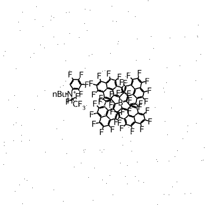 CCCC[NH+](c1cc(F)c(F)c(F)c1F)C(F)(F)C(F)(F)F.Fc1c(F)c2c(F)c(F)c3c(F)c(F)c([B-](c4c(F)c(F)c5c(F)c(F)c6c(F)c(F)c(F)c7c(F)c(F)c4c5c67)(c4c(F)c(F)c5c(F)c(F)c6c(F)c(F)c(F)c7c(F)c(F)c4c5c67)c4c(F)c(F)c5c(F)c(F)c6c(F)c(F)c(F)c7c(F)c(F)c4c5c67)c4c(F)c(F)c(c1F)c2c34